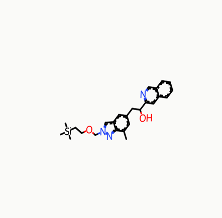 Cc1cc(CC(O)c2cc3ccccc3cn2)cc2cn(COCC[Si](C)(C)C)nc12